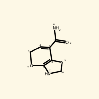 NC(=O)C1=CCOC2=C1SCN2